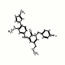 COCc1cc(Nc2ccc(-n3cnc(C)c3)c(OC)c2)c(=O)n(Cc2ccc(F)cc2)c1